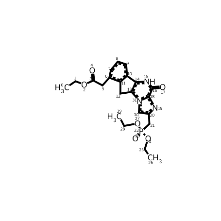 CCOC(=O)Cc1cccc2c1Cc1c-2[nH]c(=O)c2nc(CP(=O)(OCC)OCC)cn12